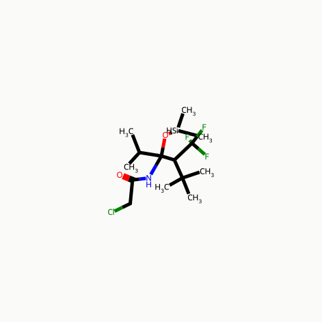 CC(C)C(NC(=O)CCl)(O[SiH](C)C)C(C(C)(C)C)C(F)(F)F